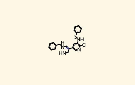 N=C/C(=C\NCc1ccccc1)c1cnc(Cl)c(NSc2ccccc2)c1